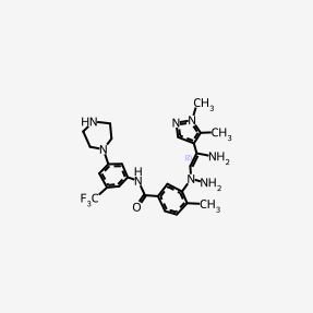 Cc1ccc(C(=O)Nc2cc(N3CCNCC3)cc(C(F)(F)F)c2)cc1N(N)/C=C(\N)c1cnn(C)c1C